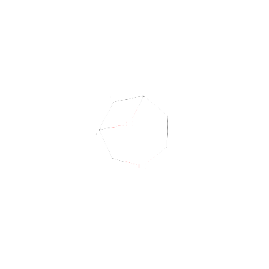 C1CC2CC(CO1)O2